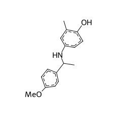 COc1ccc(C(C)Nc2ccc(O)c(C)c2)cc1